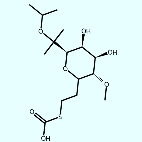 CO[C@@H]1C(CCSC(=O)O)O[C@@H](C(C)(C)OC(C)C)[C@@H](O)[C@H]1O